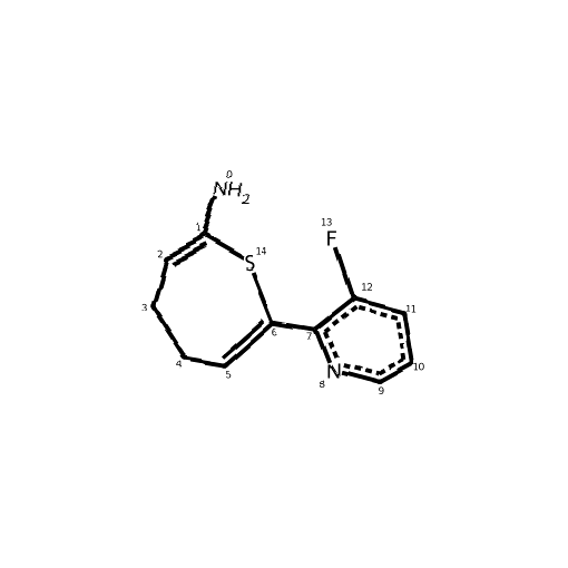 NC1=CCCC=C(c2ncccc2F)S1